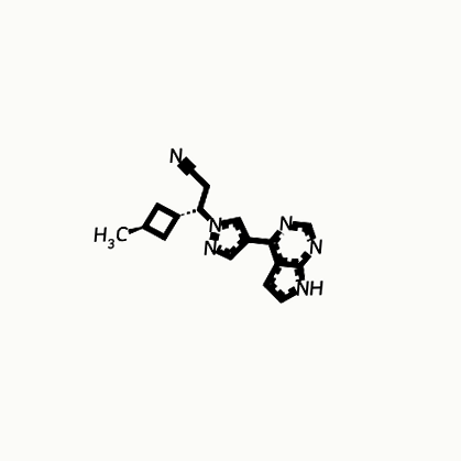 C[C@H]1C[C@H](C(CC#N)n2cc(-c3ncnc4[nH]ccc34)cn2)C1